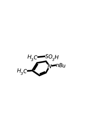 CCCCN1C=CC(C)=CC1.CS(=O)(=O)O